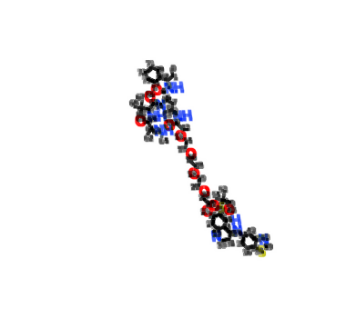 CCC(NC(=O)[C@@H]1C[C@H](NC(=O)COCCOCCOCCOCCOc2cc3nccc(Nc4ccc5scnc5c4)c3cc2S(=O)(=O)C(C)(C)C)CN1C(=O)C(NC(=O)C(C)NC)C(C)(C)C)c1ccccc1